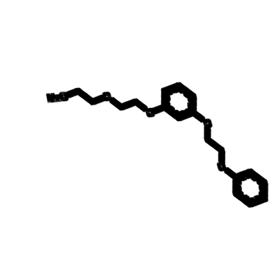 COCCOCCOc1cccc(OCCOc2ccccc2)c1